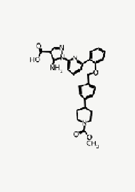 COC(=O)N1CCC(c2ccc(COc3ccccc3-c3cccc(N4N=CC(C(=O)O)C4N)n3)cc2)CC1